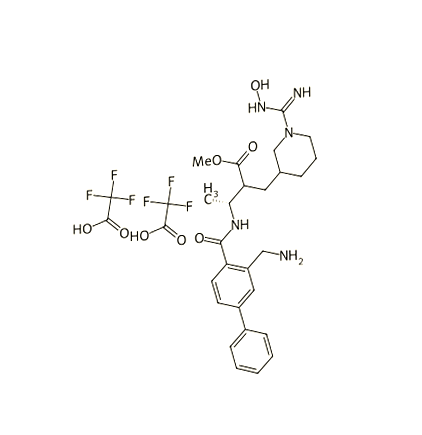 COC(=O)C(CC1CCCN(C(=N)NO)C1)[C@@H](C)NC(=O)c1ccc(-c2ccccc2)cc1CN.O=C(O)C(F)(F)F.O=C(O)C(F)(F)F